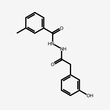 Cc1cccc(C(=O)NNC(=O)Cc2cccc(O)c2)c1